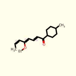 C\C=C/C(=C/C=C/C(=O)C1CCC(C)CC1)OCC